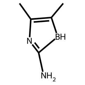 CC1=C(C)N=C(N)B1